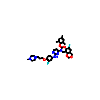 Cc1cc(C)c(OC(=O)N(Cc2cc(F)cc3c2OCOC3)c2ccnc(Nc3ccc(OCCCN4CCN(C)CC4)c(F)c3)n2)c(C)c1